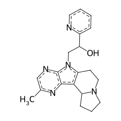 Cc1cnc2c(n1)c1c(n2CC(O)c2ccccn2)CCN2CCCC12